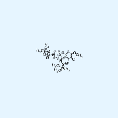 COc1cc2c(cc1Cl)/C(=N\[S@@+]([O-])C(C)(C)C)C1(CCN(C(=O)OC(C)(C)C)CC1)C2